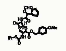 COc1ccc(COC(=O)C2S[C@@H]3C(NC(=O)C(OC=O)c4ccccc4)C(=O)N3C=C2NC(=O)SC(C)C)cc1